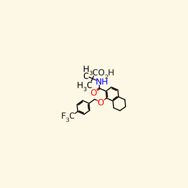 CC(C)(NC(=O)c1ccc2c(c1OCc1ccc(C(F)(F)F)cc1)CCCC2)C(=O)O